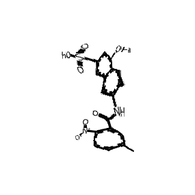 Cc1ccc([N+](=O)[O-])c(C(=O)Nc2ccc3c(O)cc(S(=O)(=O)O)cc3c2)c1